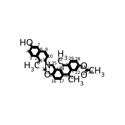 CCc1ccc(O)cc1/C=C\CN1COc2ccc(C(C)c3cc(OC(C)=O)ccc3CC)cc2C1